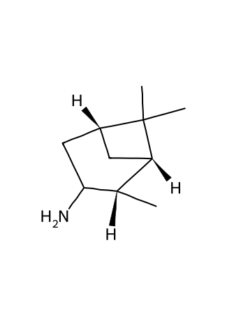 C[C@@H]1C(N)C[C@H]2C[C@@H]1C2(C)C